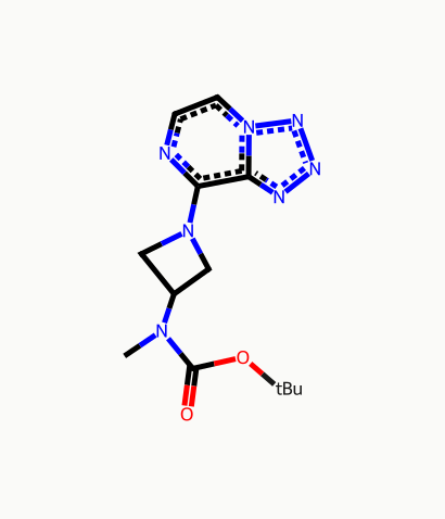 CN(C(=O)OC(C)(C)C)C1CN(c2nccn3nnnc23)C1